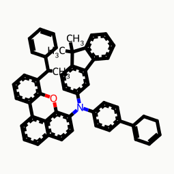 CC(c1cccc2c1Oc1c(N(c3ccc(C4=CC=CCC4)cc3)c3ccc4c(c3)-c3ccccc3C4(C)C)ccc3cccc-2c13)C1C=CC=CC1